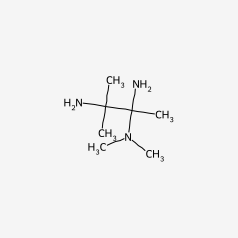 CN(C)C(C)(N)C(C)(C)N